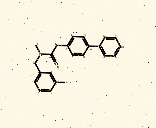 CN(Cc1cccc(F)c1)C(=O)Cc1ccc(-c2ccccc2)cc1